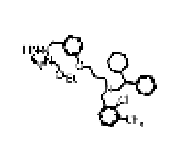 CCOCN1N=CNN1Cc1cccc(OCCCN(Cc2cccc(C(F)(F)F)c2Cl)CC(c2ccccc2)C2CCCCC2)c1